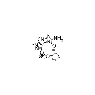 Cc1ccc2c(c1)[C@@H](C)Oc1nc(cnc1N)-c1c(nn(C)c1C#N)OP(C)(=O)O2